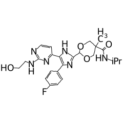 CC(C)NC(=O)C1(C)COC(c2nc(-c3ccc(F)cc3)c(-c3ccnc(NCCO)n3)[nH]2)OC1